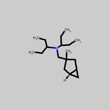 CCC(CC)N(CC1(C)CC2C[C@@H]2C1)C(CC)CC